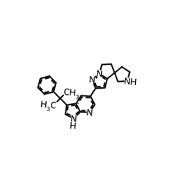 CC(C)(c1ccccc1)c1c[nH]c2ncc(-c3cc4n(n3)CCC43CCNC3)cc12